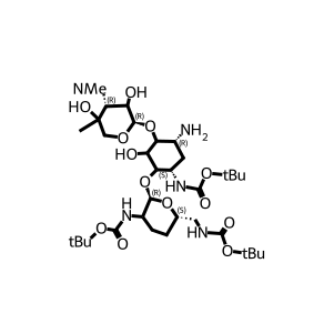 CN[C@@H]1C(O)[C@@H](OC2C(O)C(O[C@H]3O[C@H](CNC(=O)OC(C)(C)C)CCC3NC(=O)OC(C)(C)C)[C@@H](NC(=O)OC(C)(C)C)C[C@H]2N)OCC1(C)O